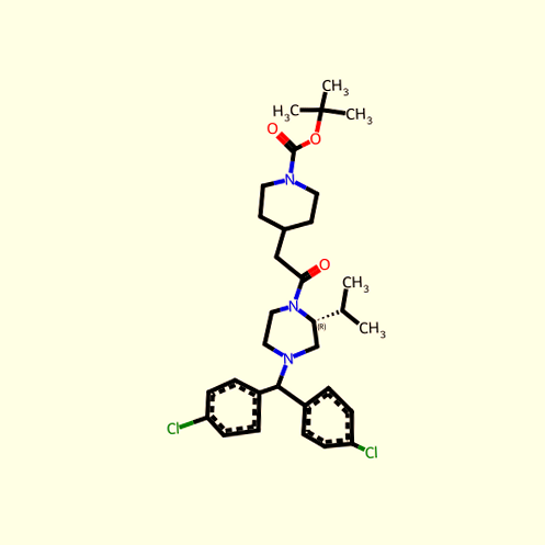 CC(C)[C@@H]1CN(C(c2ccc(Cl)cc2)c2ccc(Cl)cc2)CCN1C(=O)CC1CCN(C(=O)OC(C)(C)C)CC1